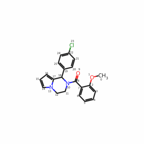 COc1ccccc1C(=O)N1CCn2cccc2C1c1ccc(Cl)cc1